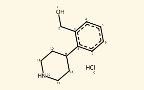 Cl.OCc1ccccc1C1CCNCC1